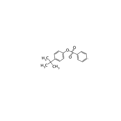 CC(C)(C)c1ccc(OS(=O)(=O)c2cc[c]cc2)cc1